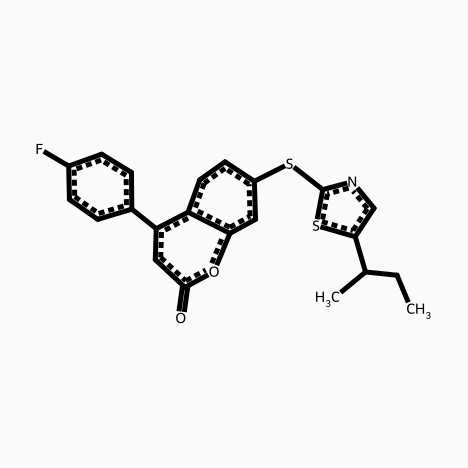 CCC(C)c1cnc(Sc2ccc3c(-c4ccc(F)cc4)cc(=O)oc3c2)s1